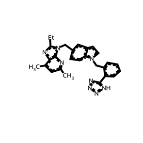 CCc1nc2c(C)cc(C)nc2n1Cc1ccc2c(ccn2Cc2ccccc2-c2nnn[nH]2)c1